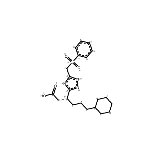 O=C(O)C[C@@H](CCCC1CCCCC1)c1nc(CS(=O)(=O)c2ccccc2)no1